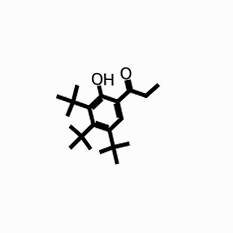 CCC(=O)c1cc(C(C)(C)C)c(C(C)(C)C)c(C(C)(C)C)c1O